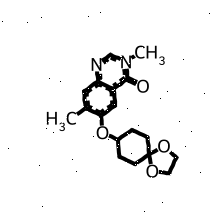 Cc1cc2ncn(C)c(=O)c2cc1OC1CCC2(CC1)OCCO2